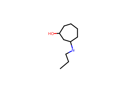 CCC[N]C1CCCCC(O)C1